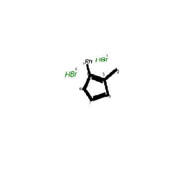 Br.Br.CC1=[C]([Rh])CC=C1